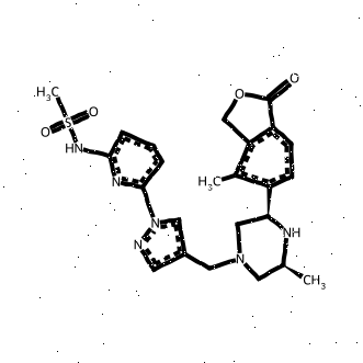 Cc1c([C@@H]2CN(Cc3cnn(-c4cccc(NS(C)(=O)=O)n4)c3)C[C@H](C)N2)ccc2c1COC2=O